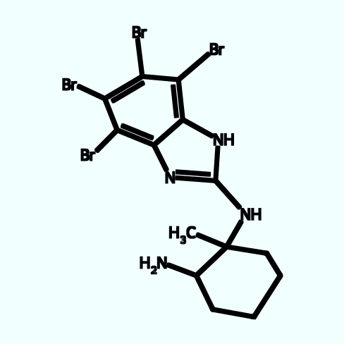 CC1(Nc2nc3c(Br)c(Br)c(Br)c(Br)c3[nH]2)CCCCC1N